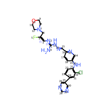 N/C(=N\C=C(\F)CN1CCOCC1)N/N=C/c1ccc(Nc2ccc(-c3cncnc3)cc2Cl)cn1